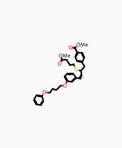 COC(=O)CCCSC(/C=C\c1cccc(OCCCCOc2ccccc2)c1)Cc1ccc(C(=O)OC)cc1